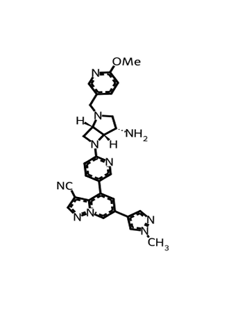 COc1ccc(CN2C[C@H](N)[C@H]3[C@@H]2CN3c2ccc(-c3cc(-c4cnn(C)c4)cn4ncc(C#N)c34)cn2)cn1